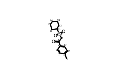 Cc1ccc(C(=O)CS(=O)(=O)C2CCCCC2)cc1